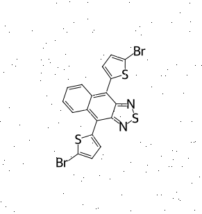 Brc1ccc(-c2c3ccccc3c(-c3ccc(Br)s3)c3nsnc23)s1